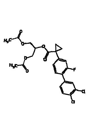 CC(=O)OCC(COC(C)=O)OC(=O)C1(c2ccc(-c3ccc(Cl)c(Cl)c3)c(F)c2)CC1